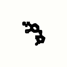 Cn1ccc(Oc2ccc([N+](=O)[O-])c(Cl)c2)n1